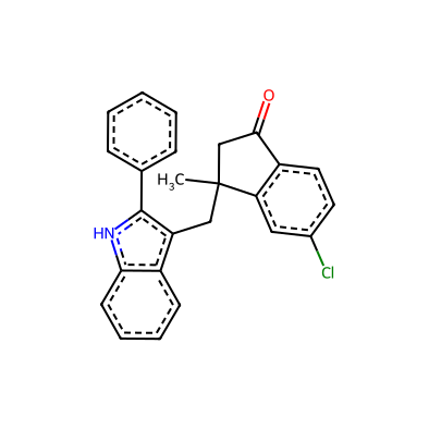 CC1(Cc2c(-c3ccccc3)[nH]c3ccccc23)CC(=O)c2ccc(Cl)cc21